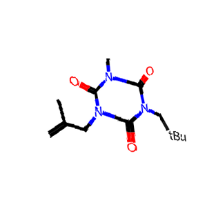 C=C(C)Cn1c(=O)n(C)c(=O)n(CC(C)(C)C)c1=O